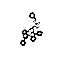 CCCN(CC(COc1cccc2oc(-c3ccccc3)cc(=O)c12)OC(=O)C(c1ccccc1)c1ccccc1)C(=O)OCc1ccccc1